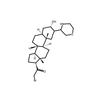 C[C@]12CC(C3COCCN3)[C@@H](O)C[C@@H]1CC[C@@H]1[C@@H]2CC[C@]2(C)[C@@H](C(=O)CBr)CC[C@@H]12